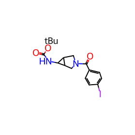 CC(C)(C)OC(=O)NC1C2CN(C(=O)c3ccc(I)cc3)CC21